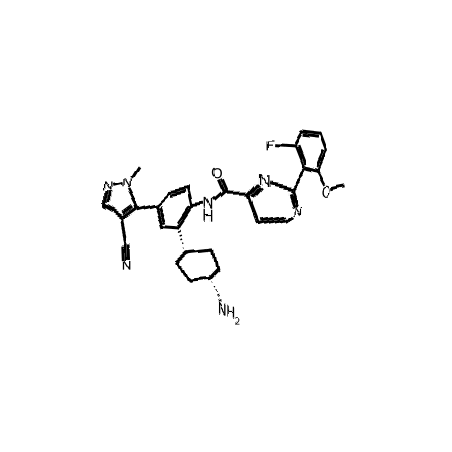 COc1cccc(F)c1-c1nccc(C(=O)Nc2ccc(-c3c(C#N)cnn3C)cc2[C@H]2CC[C@@H](N)CC2)n1